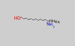 CCCCCCC(N)CCCCCCCCCCCO